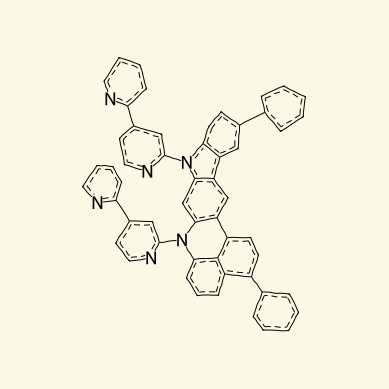 c1ccc(-c2ccc3c(c2)c2cc4c(cc2n3-c2cc(-c3ccccn3)ccn2)N(c2cc(-c3ccccn3)ccn2)c2cccc3c(-c5ccccc5)ccc-4c23)cc1